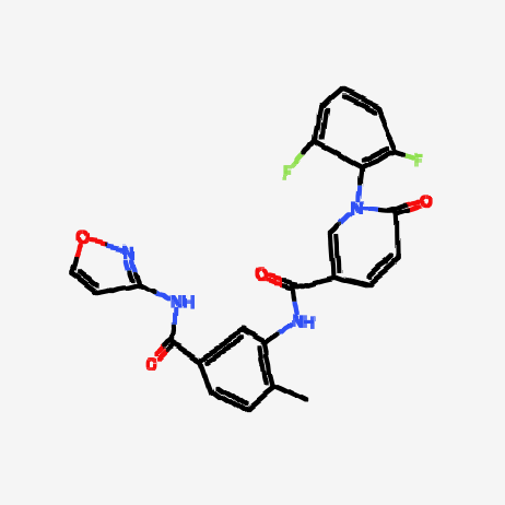 Cc1ccc(C(=O)Nc2ccon2)cc1NC(=O)c1ccc(=O)n(-c2c(F)cccc2F)c1